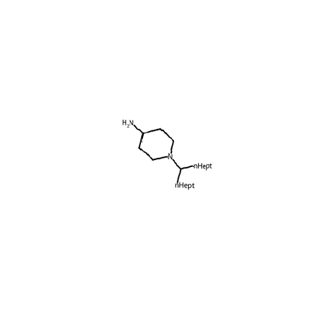 CCCCCCCC(CCCCCCC)N1CCC(N)CC1